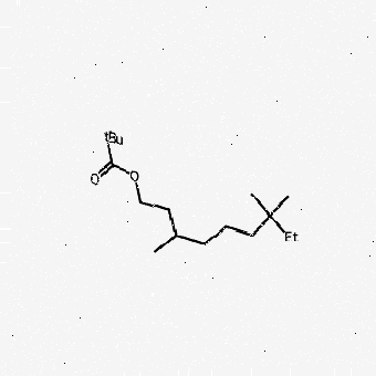 CCC(C)(C)CCCC(C)CCOC(=O)C(C)(C)C